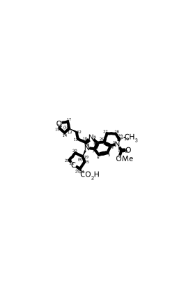 COC(=O)N1c2ccc3c(nc(CC[C@H]4CCOC4)n3[C@@H]3CCC[C@@H](C(=O)O)C3)c2CC[C@@H]1C